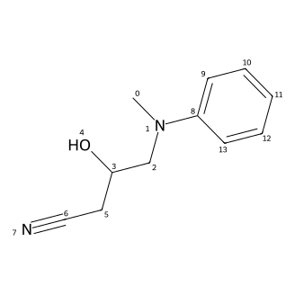 CN(CC(O)CC#N)c1ccccc1